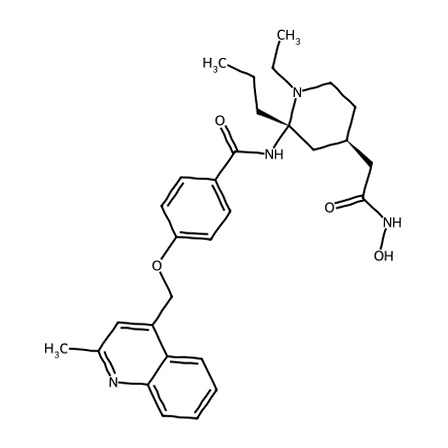 CCC[C@]1(NC(=O)c2ccc(OCc3cc(C)nc4ccccc34)cc2)C[C@H](CC(=O)NO)CCN1CC